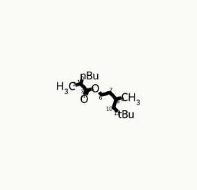 CCCCC(C)C(=O)OCCC(C)CC(C)(C)C